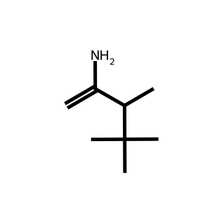 C=C(N)C(C)C(C)(C)C